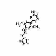 Cc1cc(-c2cccc(N)n2)c(C)cc1OCCC1CCCN1